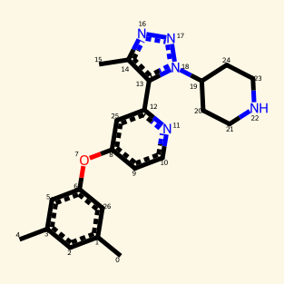 Cc1cc(C)cc(Oc2ccnc(-c3c(C)nnn3C3CCNCC3)c2)c1